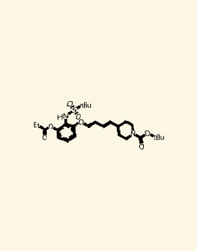 CCCCS(=O)(=O)Nc1c(OCCCCC2CCN(C(=O)OC(C)(C)C)CC2)cccc1OC(=O)CC